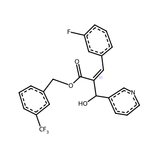 O=C(OCc1cccc(C(F)(F)F)c1)/C(=C\c1cccc(F)c1)C(O)c1cccnc1